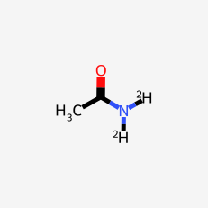 [2H]N([2H])C(C)=O